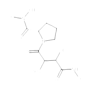 CCCCC(C(=O)N1CCC[C@H]1C(=O)N(C)C)C(O)C(=O)NO